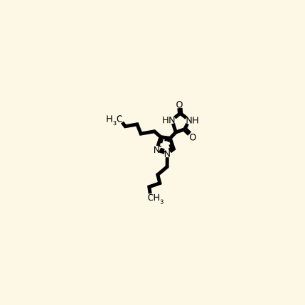 CCCCCc1nn(CCCCC)cc1C1NC(=O)NC1=O